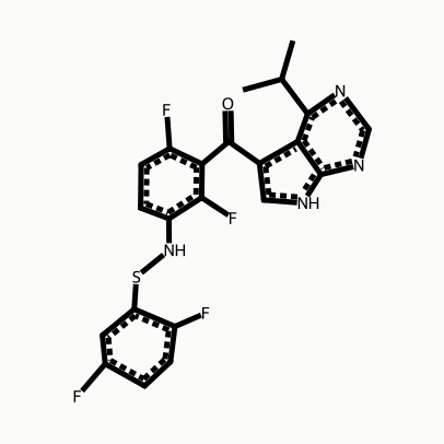 CC(C)c1ncnc2[nH]cc(C(=O)c3c(F)ccc(NSc4cc(F)ccc4F)c3F)c12